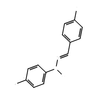 [O-][S+](/N=C/c1ccc(F)cc1)c1ccc(Br)cc1